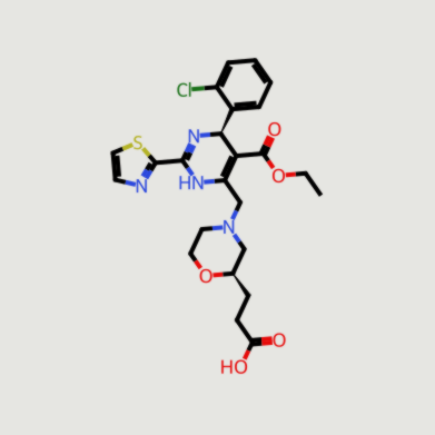 CCOC(=O)C1=C(CN2CCO[C@H](CCC(=O)O)C2)NC(c2nccs2)=N[C@H]1c1ccccc1Cl